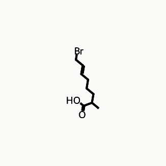 CC(CCCC=CCBr)C(=O)O